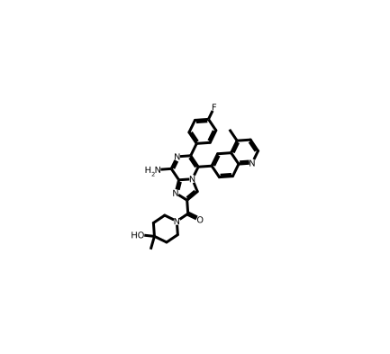 Cc1ccnc2ccc(-c3c(-c4ccc(F)cc4)nc(N)c4nc(C(=O)N5CCC(C)(O)CC5)cn34)cc12